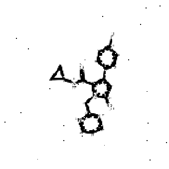 O=C(NC1CC1)c1c(-c2ccc(F)cc2)cc(C(F)(F)F)n1Cc1ncccn1